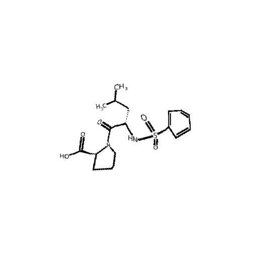 CC(C)C[C@H](NS(=O)(=O)c1ccccc1)C(=O)N1CCC[C@H]1C(=O)O